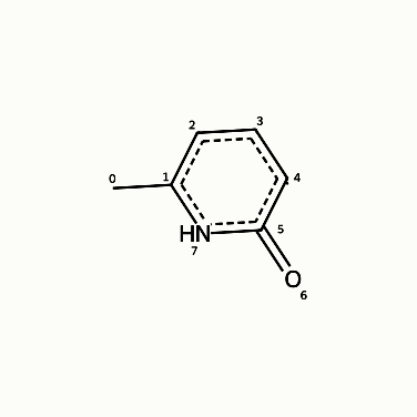 Cc1cc[c]c(=O)[nH]1